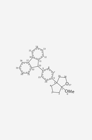 COC12CCCC1(c1ccc(C3c4ccccc4-c4ccccc43)cc1)CCO2